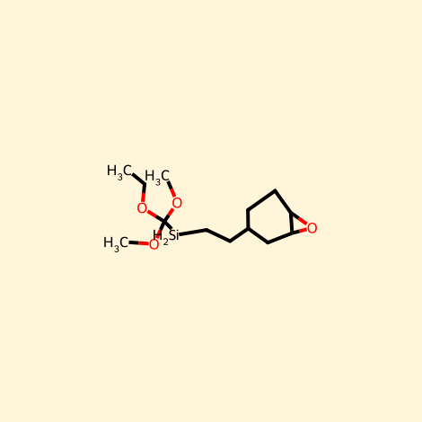 CCOC(OC)(OC)[SiH2]CCC1CCC2OC2C1